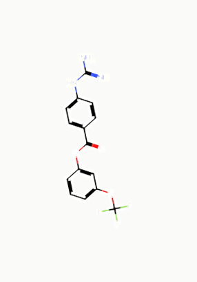 N=C(N)Nc1ccc(C(=O)Oc2cccc(OC(F)(F)F)c2)cc1